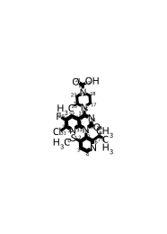 CSc1ccnc(C(C)C)c1-n1c(=O)nc(N2CCN(C(=O)O)C[C@@H]2C)c2cc(F)c(Cl)nc21